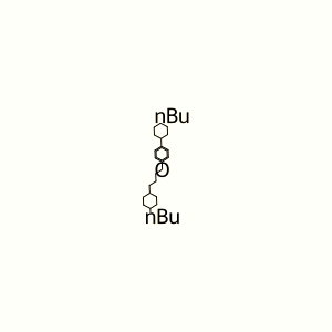 CCCCC1CCC(CCCOc2ccc(C3CCC(CCCC)CC3)cc2)CC1